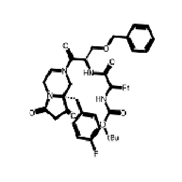 CCC(NC(=O)OC(C)(C)C)C(=O)N[C@H](COCc1ccccc1)C(=O)N1CCN2C(=O)CC(=O)[C@]2(Cc2ccc(F)cc2)C1